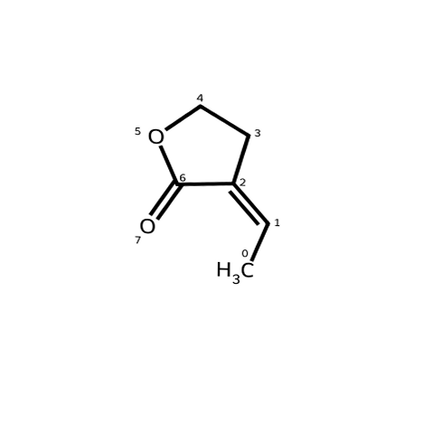 CC=C1CCOC1=O